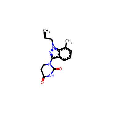 C=CCn1nc(N2CCC(=O)NC2=O)c2cccc(C)c21